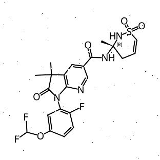 CC1(C)C(=O)N(c2cc(OC(F)F)ccc2F)c2ncc(C(=O)N[C@@]3(C)CC=CS(=O)(=O)N3)cc21